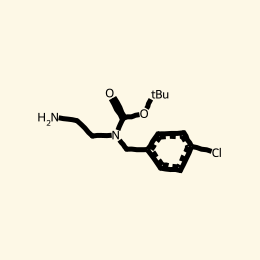 CC(C)(C)OC(=O)N(CCN)Cc1ccc(Cl)cc1